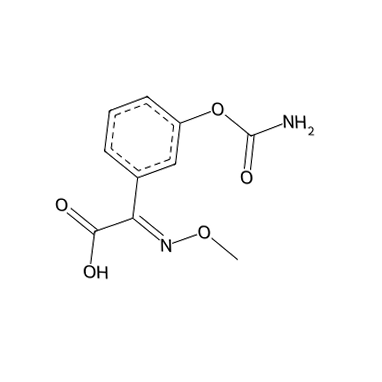 CO/N=C(/C(=O)O)c1cccc(OC(N)=O)c1